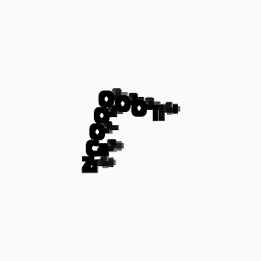 [Ca+2].[O-2].[O-2].[O-2].[O-2].[O-2].[Ti+4].[Zr+4]